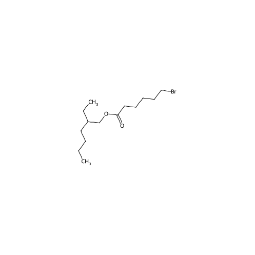 CCCCC(CC)COC(=O)CCCCCBr